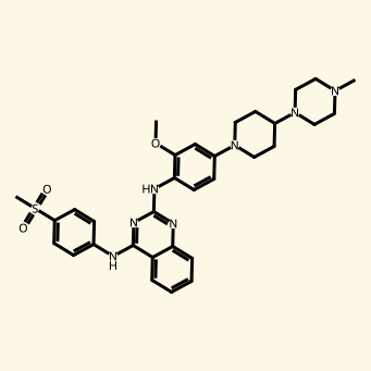 COc1cc(N2CCC(N3CCN(C)CC3)CC2)ccc1Nc1nc(Nc2ccc(S(C)(=O)=O)cc2)c2ccccc2n1